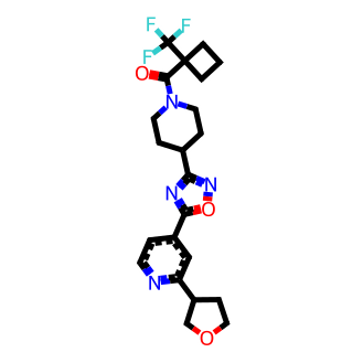 O=C(N1CCC(c2noc(-c3ccnc(C4CCOC4)c3)n2)CC1)C1(C(F)(F)F)CCC1